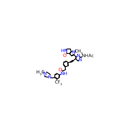 CC(=O)Nc1ncc(C#Cc2cccc(CC(=O)Nc3ccc(CN4CCN(C)CC4)c(C(F)(F)F)c3)c2)c(-c2cc3c(n2C)CCNC3=O)n1